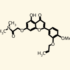 C=CCOc1cc(-c2cc(=O)c3c(O)cc(OCC(=O)N(C)C)cc3o2)ccc1OC